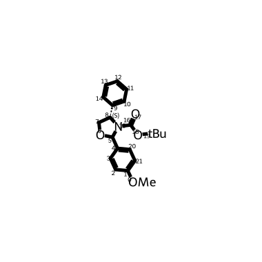 COc1ccc(C2OC[C@H](c3ccccc3)N2C(=O)OC(C)(C)C)cc1